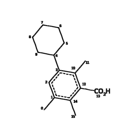 Cc1cc(C2CCCCC2)c(C)c(C(=O)O)c1C